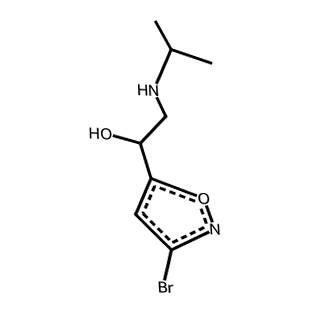 CC(C)NCC(O)c1cc(Br)no1